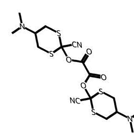 CN(C)C1CSC(C#N)(OC(=O)C(=O)OC2(C#N)SCC(N(C)C)CS2)SC1